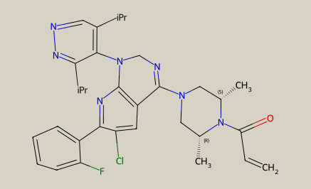 C=CC(=O)N1[C@H](C)CN(C2=NCN(c3c(C(C)C)cnnc3C(C)C)c3nc(-c4ccccc4F)c(Cl)cc32)C[C@@H]1C